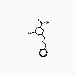 CC1CC(C(=O)O)SC(COCc2ccccc2)=N1